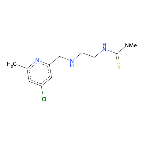 CNC(=S)NCCNCc1cc(Cl)cc(C)n1